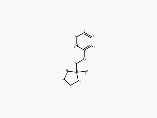 CC(C)C1(COc2ncccn2)CCCC1